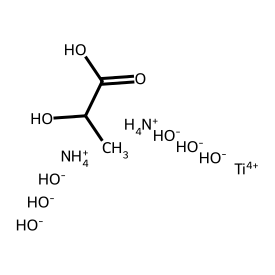 CC(O)C(=O)O.[NH4+].[NH4+].[OH-].[OH-].[OH-].[OH-].[OH-].[OH-].[Ti+4]